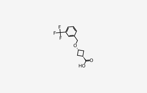 O=C(O)[C@H]1C[C@H](OCc2cccc(C(F)(F)F)c2)C1